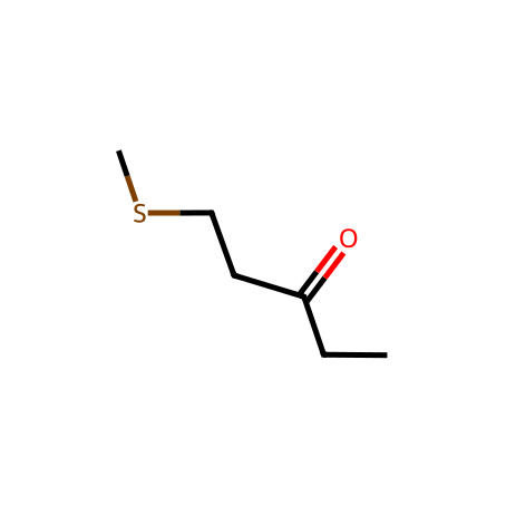 CCC(=O)CCSC